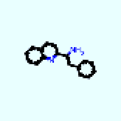 NC(=Cc1ccccc1)c1ccc2ccccc2n1